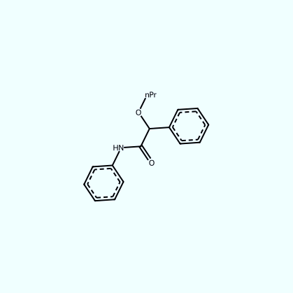 CCCOC(C(=O)Nc1ccccc1)c1ccccc1